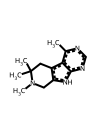 Cc1ncnc2[nH]c3c(c12)CC(C)(C)N(C)C3